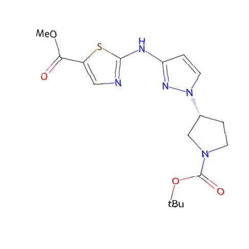 COC(=O)c1cnc(Nc2ccn([C@@H]3CCN(C(=O)OC(C)(C)C)C3)n2)s1